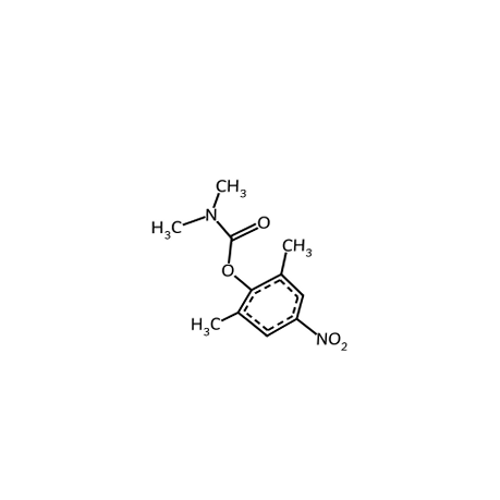 Cc1cc([N+](=O)[O-])cc(C)c1OC(=O)N(C)C